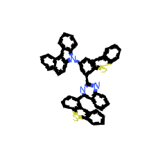 c1ccc2c(c1)ccc1c2c2ccccc2n1-c1cc(-c2nc(-c3cccc4sc5ccccc5c34)c3ccccc3n2)c2sc3ccccc3c2c1